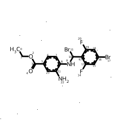 CCOC(=O)c1ccc(NC(Br)c2c(F)cc(Br)cc2F)c(N)c1